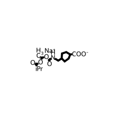 CC(C)C(=O)O[C@@H](C)OC(=O)NCC1CCC(C(=O)[O-])CC1.[Na+]